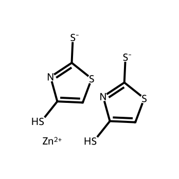 [S-]c1nc(S)cs1.[S-]c1nc(S)cs1.[Zn+2]